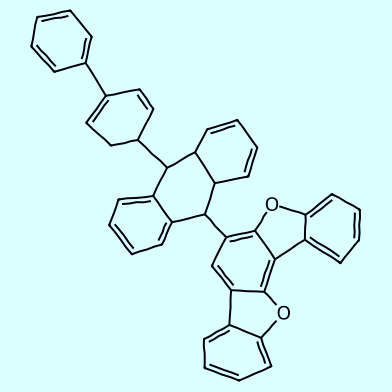 C1=CC2C(c3cc4c5ccccc5oc4c4c3oc3ccccc34)c3ccccc3C(C3C=CC(c4ccccc4)=CC3)C2C=C1